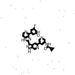 O=C(Nc1cncc(-c2cc3c(-c4nc5c(-c6cc(O)cc(F)c6)nccc5[nH]4)n[nH]c3cn2)c1)C1CC1